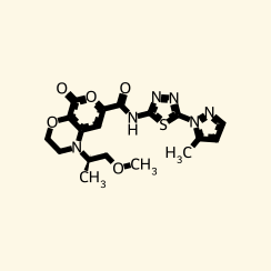 COC[C@@H](C)N1CCOc2c1cc(C(=O)Nc1nnc(-n3nccc3C)s1)oc2=O